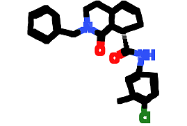 Cc1cc(NC(=O)[C@H]2CC=CC3CCN(Cc4ccccc4)C(=O)C32)ccc1Cl